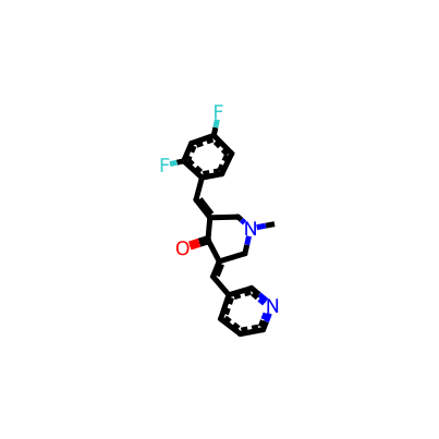 CN1C/C(=C\c2cccnc2)C(=O)/C(=C/c2ccc(F)cc2F)C1